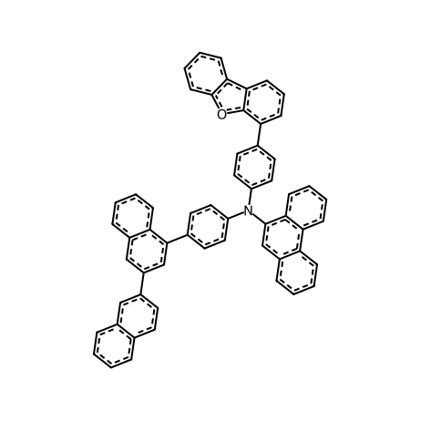 c1ccc2cc(-c3cc(-c4ccc(N(c5ccc(-c6cccc7c6oc6ccccc67)cc5)c5cc6ccccc6c6ccccc56)cc4)c4ccccc4c3)ccc2c1